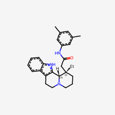 CC[C@@]1(CC(=O)Nc2cc(C)cc(C)c2)CCCN2CCc3c([nH]c4ccccc34)[C@@H]21